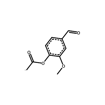 [CH2]C(=O)Oc1ccc(C=O)cc1OC